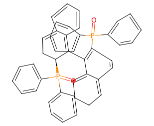 O=P(c1ccccc1)(c1ccccc1)c1ccc2c(c1C1=c3ccccc3=CC[C@@H]1P(=O)(c1ccccc1)c1ccccc1)=CCCC=2